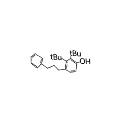 CC(C)(C)c1c(O)ccc(CCCc2ccccc2)c1C(C)(C)C